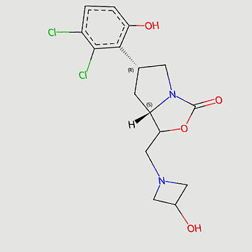 O=C1OC(CN2CC(O)C2)[C@@H]2C[C@H](c3c(O)ccc(Cl)c3Cl)CN12